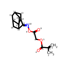 C=C(C)C(=O)OCC(=O)ON=C1C2CC3CC(C2)CC1C3